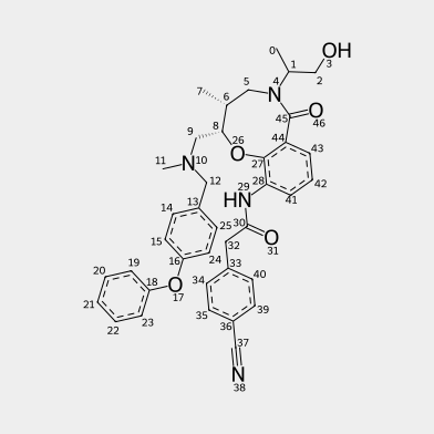 CC(CO)N1C[C@@H](C)[C@@H](CN(C)Cc2ccc(Oc3ccccc3)cc2)Oc2c(NC(=O)Cc3ccc(C#N)cc3)cccc2C1=O